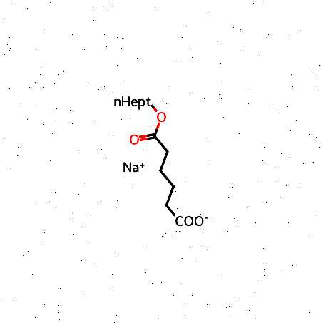 CCCCCCCOC(=O)CCCCC(=O)[O-].[Na+]